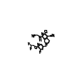 N#CCNc1nc(Cl)c(C#N)c2c1CN(Cc1cnc(OCC(F)F)c(F)c1)CC2